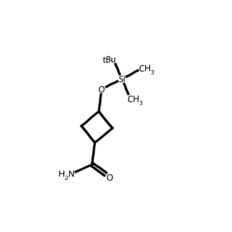 CC(C)(C)[Si](C)(C)OC1CC(C(N)=O)C1